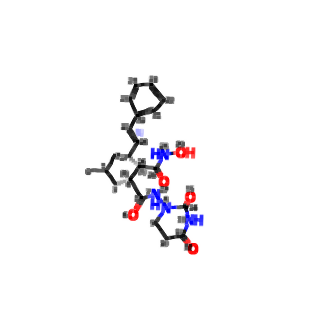 CC(C)C[C@@H](C(=O)NN1CCC(=O)NC1=O)[C@H](C/C=C/c1ccccc1)C(=O)NO